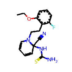 CCOc1cccc(F)c1CCN1C=CC=CC1(C#N)NC(N)=S